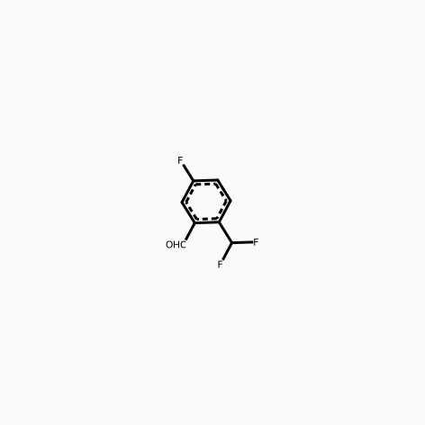 O=Cc1cc(F)ccc1C(F)F